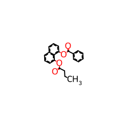 CCCC(=O)Oc1cccc2cccc(OC(=O)c3ccccc3)c12